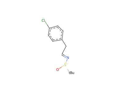 CC(C)(C)[S@+]([O-])N=CCc1ccc(Cl)cc1